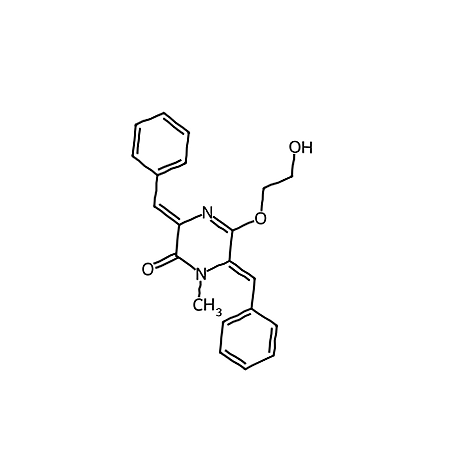 Cn1c(=O)/c(=C/c2ccccc2)nc(OCCO)/c1=C/c1ccccc1